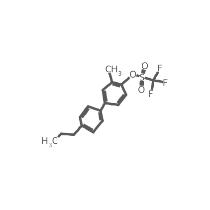 CCCc1ccc(-c2ccc(OS(=O)(=O)C(F)(F)F)c(C)c2)cc1